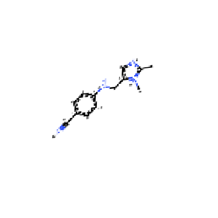 Cc1ncc(CNc2ccc(C#N)cc2)n1C